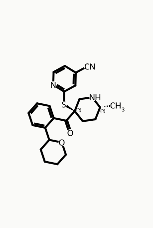 C[C@@H]1CC[C@](Sc2cc(C#N)ccn2)(C(=O)c2ccccc2C2CCCCO2)CN1